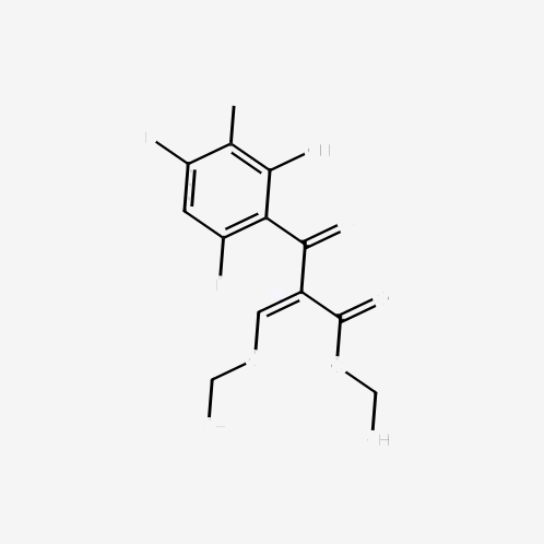 CCO/C=C(\C(=O)OCC)C(=O)c1c(F)cc(F)c(F)c1C